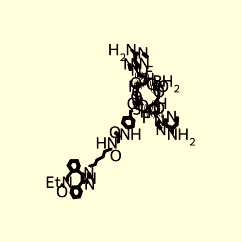 B[P@@]1(=O)OC[C@H]2O[C@@H](n3cnc4c(N)ccnc43)[C@H](F)[C@@H]2O[P@](=O)(SCc2ccc(NC(=O)CNC(=O)CCCCCn3nnc4c3-c3ccccc3CN(C(=O)CC)c3ccccc3-4)cc2)OC[C@H]2O[C@@H](n3cnc4c(N)ncnc43)[C@H](F)[C@@H]2O1